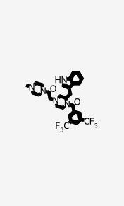 CN1CCN(C(=O)CN2CCN(C(=O)c3cc(C(F)(F)F)cc(C(F)(F)F)c3)C(Cc3c[nH]c4ccccc34)C2)CC1